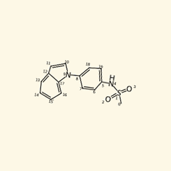 CS(=O)(=O)Nc1ccc(-n2ccc3cc[c]cc32)cc1